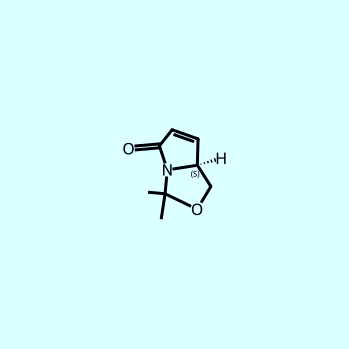 CC1(C)OC[C@@H]2C=CC(=O)N21